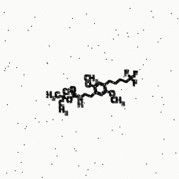 COc1cc(CCNC(=O)OC(C)(C)C)c(OC)cc1CCCCC(F)(F)F